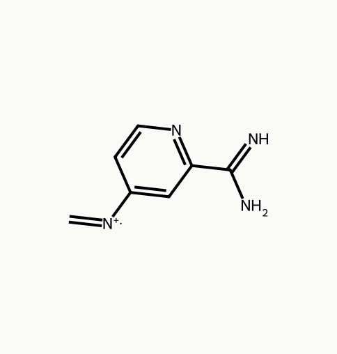 C=[N+]c1ccnc(C(=N)N)c1